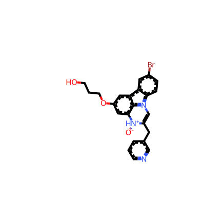 [O-][NH+]1C(Cc2cccnc2)=Cn2c3ccc(Br)cc3c3cc(OCCCO)cc1c32